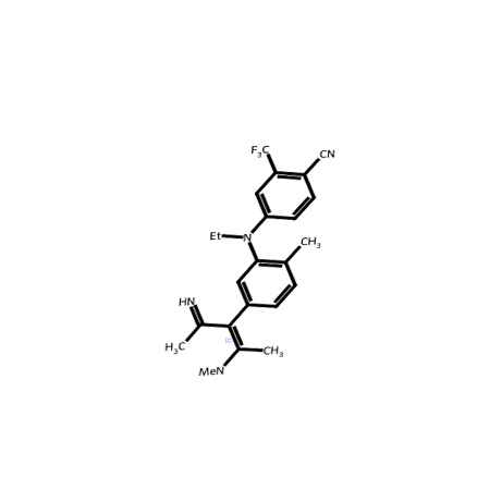 CCN(c1ccc(C#N)c(C(F)(F)F)c1)c1cc(/C(C(C)=N)=C(\C)NC)ccc1C